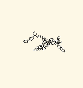 O=C(NS(=O)(=O)c1ccc(NCC2(F)CCOCC2)c([N+](=O)[O-])c1)c1ccc(N2CCN(CC3=C(c4ccc(Cl)cc4)CC4(CC3)CC4)CC2)cc1N1CCOc2nc3[nH]ccc3cc21